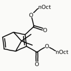 CCCCCCCCOC(=O)C1=C(C(=O)OCCCCCCCC)C2C=CC1C2(C)C